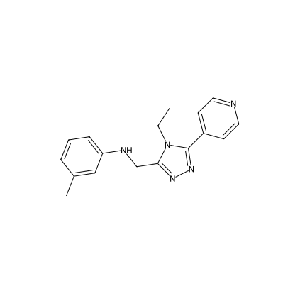 CCn1c(CNc2cccc(C)c2)nnc1-c1ccncc1